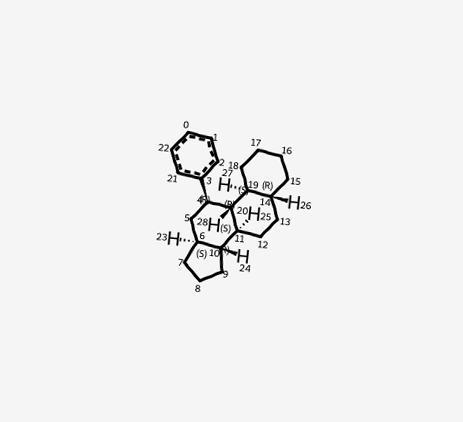 c1ccc([C@@H]2C[C@@H]3CCC[C@H]3[C@@H]3CC[C@H]4CCCC[C@@H]4[C@H]32)cc1